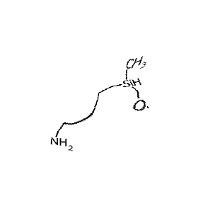 C[SiH]([O])CCCN